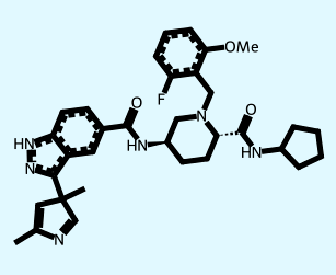 COc1cccc(F)c1CN1C[C@H](NC(=O)c2ccc3[nH]nc(C4(C)C=NC(C)=C4)c3c2)CC[C@H]1C(=O)NC1CCCC1